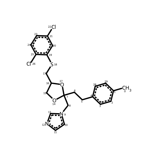 Cc1ccc(CCC2(Cn3ccnc3)OCC(CSc3cc(Cl)ccc3Cl)O2)cc1